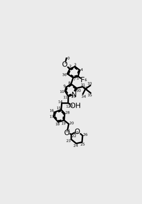 COc1ccc(F)c(-c2ccc(C(O)Cc3cccc(COC4CCCCO4)c3)nc2CC(C)(C)C)c1